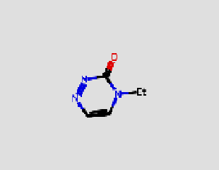 CCn1ccnnc1=O